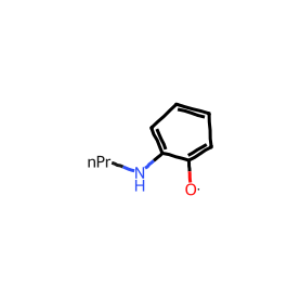 CCCNc1ccccc1[O]